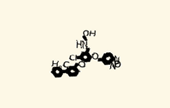 Cc1c(COc2cc(OCc3ccc4nonc4c3)c(CNCCO)cc2Cl)cccc1-c1ccccc1